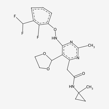 Cc1nc(CC(=O)NC2(C)CC2)c(C2OCCO2)c(NOc2cccc(C(F)F)c2F)n1